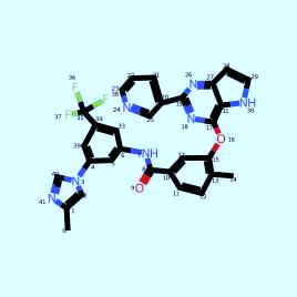 Cc1cn(-c2cc(NC(=O)c3ccc(C)c(Oc4nc(-c5cccnc5)nc5cc[nH]c45)c3)cc(C(F)(F)F)c2)cn1